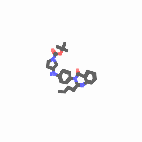 CCCCc1nc2ccccc2c(=O)n1-c1ccc(NC2CCN(C(=O)OC(C)(C)C)C2)cc1